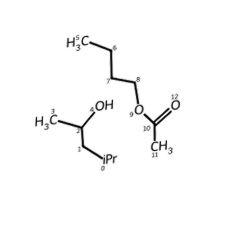 CC(C)CC(C)O.CCCCOC(C)=O